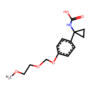 COCCOCOc1ccc(C2(NC(=O)O)CC2)cc1